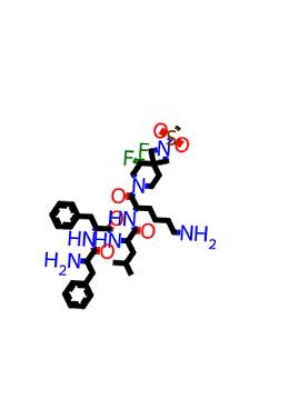 CC(C)CC(NC(=O)C(Cc1ccccc1)NC(=O)C(N)Cc1ccccc1)C(=O)NC(CCCCN)C(=O)N1CCC2(CN(S(C)(=O)=O)C2)C(F)(F)C1